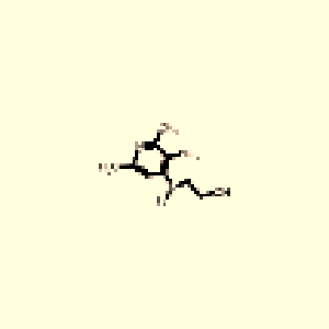 CCN(CCO)c1cc(C)nc(C)c1[N+](=O)[O-]